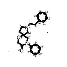 O=C1COC2(CCN(CCc3ccccc3)C2)CN1c1ccccc1